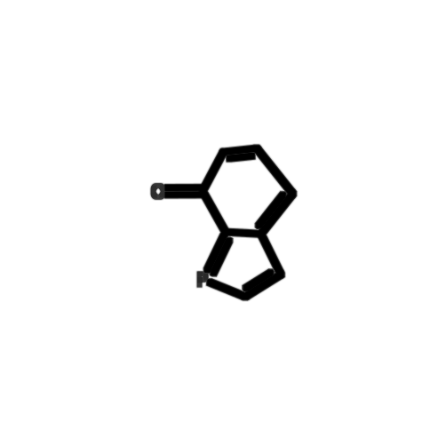 O=C1C=CC=C2C=CP=C12